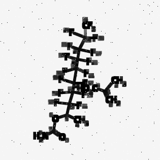 C=C(C)C(=O)O.CC(OC(N)=O)C(F)(F)C(F)(F)C(F)(F)C(F)(F)C(F)(F)C(F)(F)C(F)(F)C(F)(F)F